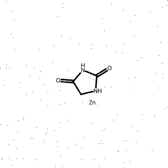 O=C1CNC(=O)N1.[Zn]